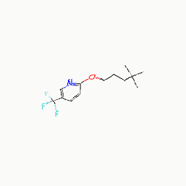 CC(C)(C)CCCOc1ccc(C(F)(F)F)cn1